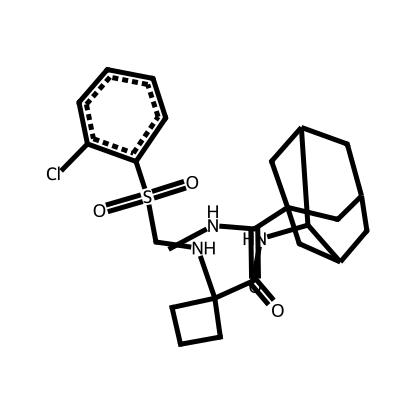 CNC(=O)C12CC3CC(C1)C(NC(=O)C1(NCS(=O)(=O)c4ccccc4Cl)CCC1)C(C3)C2